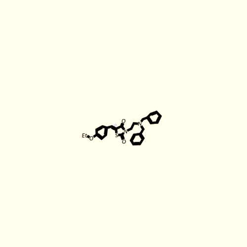 CCOc1ccc(/C=C2\SC(=O)N(CCN(Cc3ccccc3)Cc3ccccc3)C2=O)cc1